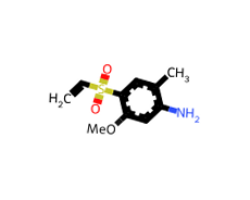 C=CS(=O)(=O)c1cc(C)c(N)cc1OC